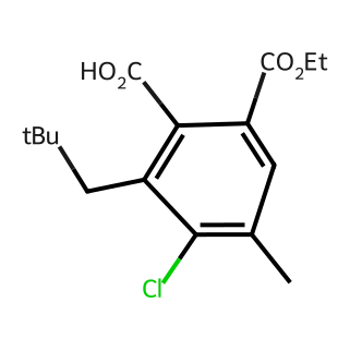 CCOC(=O)c1cc(C)c(Cl)c(CC(C)(C)C)c1C(=O)O